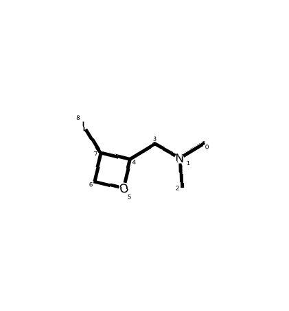 CN(C)CC1OCC1I